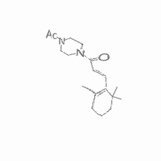 CC(=O)N1CCN(C(=O)C=CC2=C(C)CCCC2(C)C)CC1